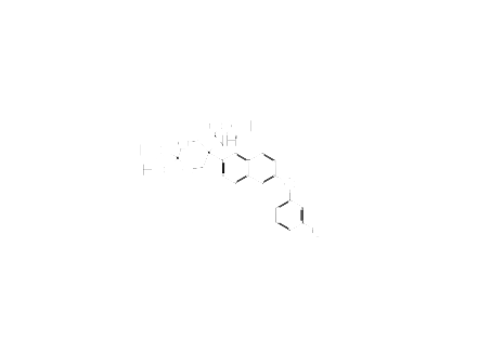 CC1(C)OCC(NC(=O)O)(c2ccc3cc(Oc4cccc(C(F)(F)F)c4)ccc3c2)CO1